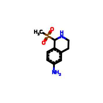 CS(=O)(=O)C1NCCc2cc(N)ccc21